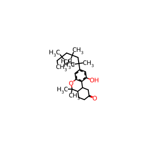 CCC(C)(C)CC(C)(C)CC(C)(C)c1cc(O)c2c(c1)OC(C)(C)C1CCC(=O)CC21